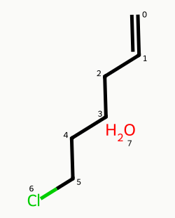 C=CCCCCCl.O